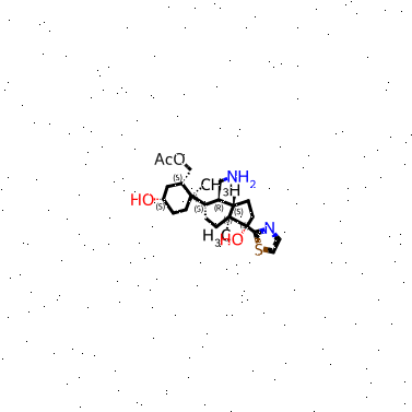 CC(=O)OC[C@H]1C[C@@H](O)CC[C@]1(C)[C@H]1CC[C@@]2(C)[C@@H](CC[C@@]2(O)c2nccs2)[C@@H]1CN